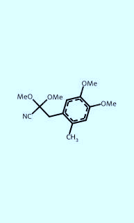 COc1cc(C)c(CC(C#N)(OC)OC)cc1OC